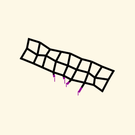 IC12C3CC4CC5C6C7C8C9C%10C%11CC%12CC%13C%14C%15(I)C%16(I)C1(I)C7(C62C453)C8%16C9%15C%10%14C%12%11%13